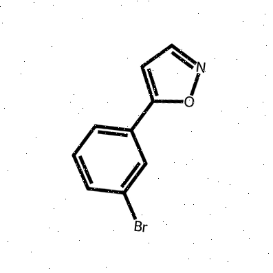 Brc1cccc(-c2ccno2)c1